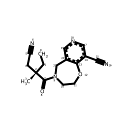 CC[C@@](C)(CC#N)C(=O)N1CCOc2c(C#N)cncc2C1